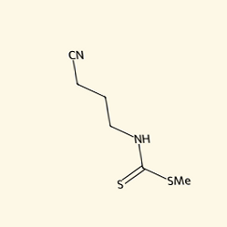 CSC(=S)NCCCC#N